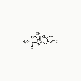 COC(=O)c1nc(Cc2cc(Cl)ccc2Cl)[nH]c1C(=O)O